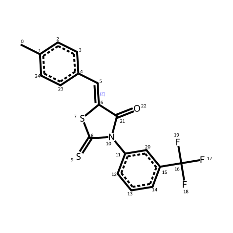 Cc1ccc(/C=C2\SC(=S)N(c3cccc(C(F)(F)F)c3)C2=O)cc1